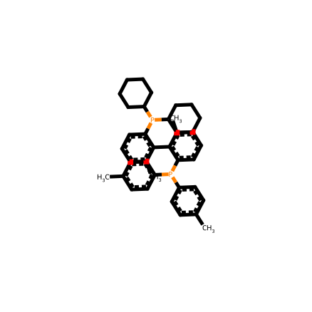 Cc1ccc(P(c2ccc(C)cc2)c2cccc(C)c2-c2c(C)cccc2P(C2CCCCC2)C2CCCCC2)cc1